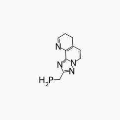 PCc1nc2c3c(ccn2n1)CCC=N3